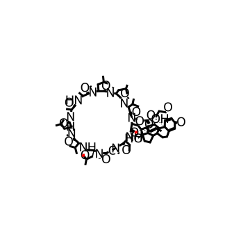 C/C=C/C[C@](C)(C(OC(=O)O[CH]CC=O)C1C(=O)NC(CC)C(=O)N(C)CC(=O)N(C)[C@@H](CC(C)C)C(=O)NC(C(C)C)C(=O)N(C)C(CC(C)C)C(=O)NC(C)C(=O)NC(C)C(=O)N(C)C(CC(C)C)C(=O)N(C)C(CC(C)C)C(=O)N(C)C(C(C)C)C(=O)N1C)[C@@]1(O)CCC2C3CCC4=CC(=O)C=C[C@]4(C)C3[C@@H](O)C[C@@]21C